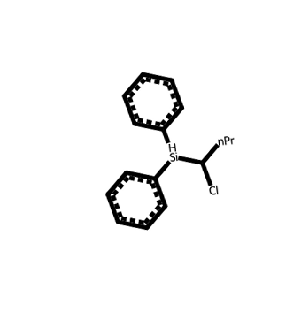 CCCC(Cl)[SiH](c1ccccc1)c1ccccc1